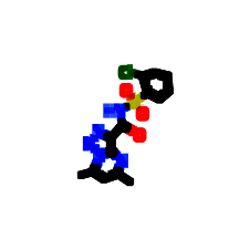 Cc1cc(C)n2nnc(C(=O)NS(=O)(=O)c3ccccc3Cl)c2n1